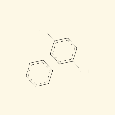 O=C(O)c1ccc(O)cc1.c1ccccc1